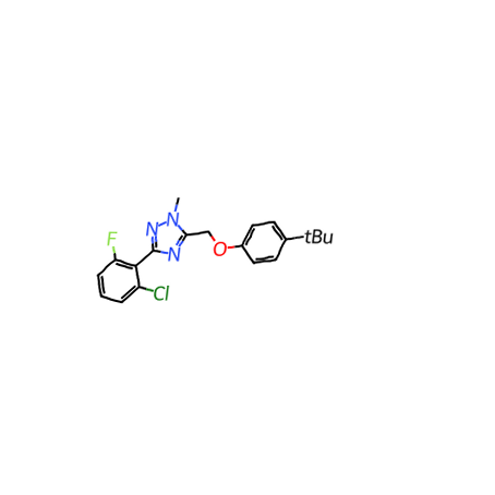 Cn1nc(-c2c(F)cccc2Cl)nc1COc1ccc(C(C)(C)C)cc1